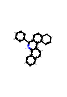 C1=Cc2c(ccc3c(-c4ccccc4)nc4c5ccccc5ccc4c23)CC1